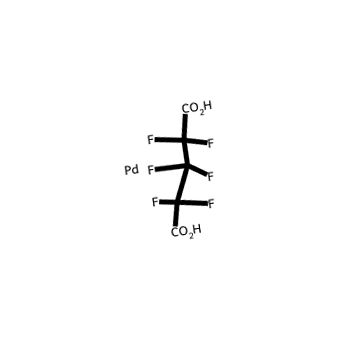 O=C(O)C(F)(F)C(F)(F)C(F)(F)C(=O)O.[Pd]